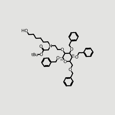 CC(C)(C)OC(=O)CN(CCCCCCO)CCOC1C(OCc2ccccc2)[C@H](OCc2ccccc2)C(COCc2ccccc2)O[C@@H]1OCc1ccccc1